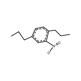 CCCc1ccc(CCC)c([N+](=O)[O-])c1